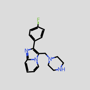 Fc1ccc(-c2nc3ccccn3c2CN2CCNCC2)cc1